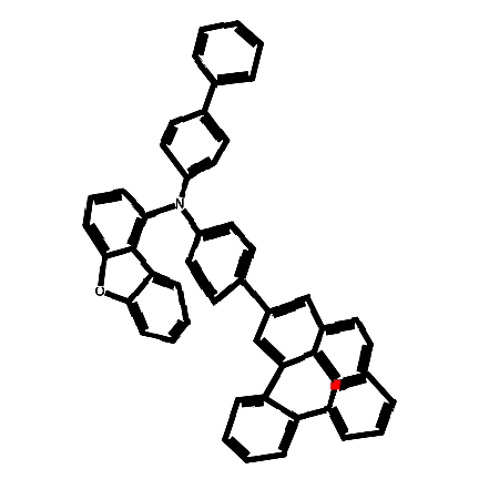 c1ccc(-c2ccc(N(c3ccc(-c4cc(-c5ccccc5-c5ccccc5)c5ccccc5c4)cc3)c3cccc4oc5ccccc5c34)cc2)cc1